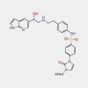 CCCCCCn1ccn(-c2ccc(S(=O)(=O)Nc3ccc(CCNCC(O)c4cnc5[nH]ccc5c4)cc3)cc2)c1=O